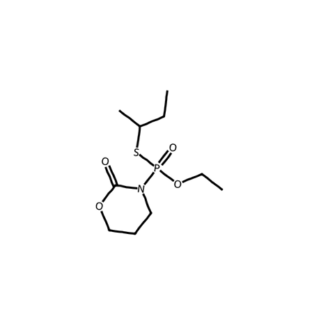 CCOP(=O)(SC(C)CC)N1CCCOC1=O